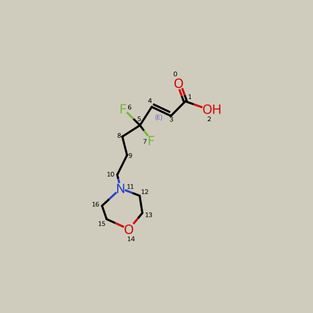 O=C(O)/C=C/C(F)(F)CCCN1CCOCC1